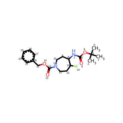 CC(C)(C)OC(=O)NC1CCN(C(=O)OCc2ccccc2)CCC1F